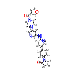 O=C([C@@H]1CCOC1)N1CCN(c2cncc(Nc3ccc(-c4ccc(N5CCCC5=O)cc4)cn3)c2)CC1